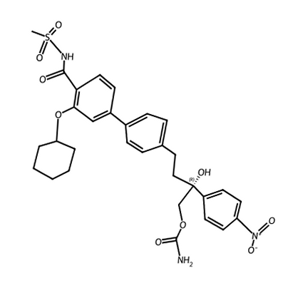 CS(=O)(=O)NC(=O)c1ccc(-c2ccc(CC[C@](O)(COC(N)=O)c3ccc([N+](=O)[O-])cc3)cc2)cc1OC1CCCCC1